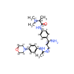 C=C(/N=C\C=C(/N)c1ccc(NC(=O)[C@H](C)N(C)C)cc1)Nc1ccc(N2CCOCC2)cc1